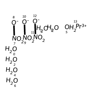 O.O.O.O.O.O.O.O=[N+]([O-])[O-].O=[N+]([O-])[O-].O=[N+]([O-])[O-].[Pr+3]